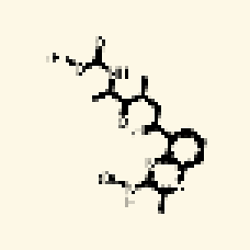 Cc1nc2cccc(C(=O)CC(C)C(=O)C(C)NC(=O)OC(C)(C)C)c2nc1NC(C)(C)C